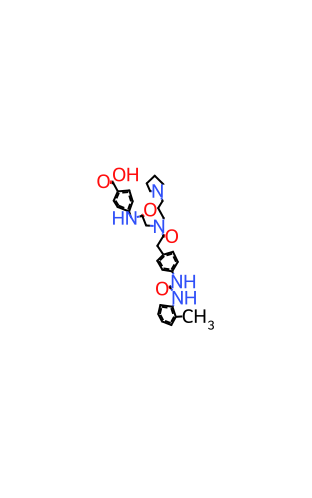 Cc1ccccc1NC(=O)Nc1ccc(CC(=O)N(CCCN2CCCC2)CC(=O)Nc2ccc(C(=O)O)cc2)cc1